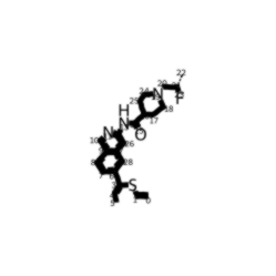 C=CS/C(=C\C)c1ccc2cnc(NC(=O)C3CCN(C[C@H](C)F)CC3)cc2c1